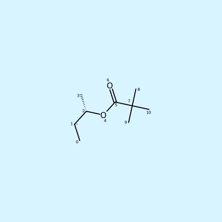 C[CH][C@H](C)OC(=O)C(C)(C)C